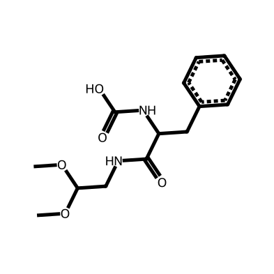 COC(CNC(=O)C(Cc1ccccc1)NC(=O)O)OC